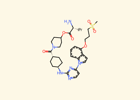 CC(C)[C@@H](N)C(=O)OC1CCN(C(=O)[C@H]2CC[C@H](Nc3nccc(-n4ccc5c(OCCCS(C)(=O)=O)cccc54)n3)CC2)CC1